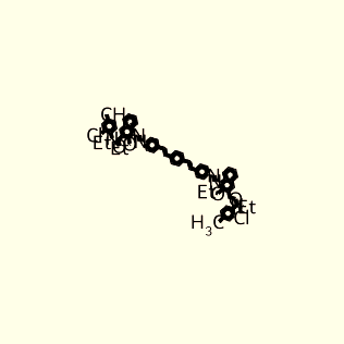 CCOc1c(CON(CC)c2ccc(C)cc2Cl)cc2ccccc2c1N=Nc1ccc(C=Cc2ccc(C=Cc3ccc(N=Nc4c(OCC)c(C(=O)N(CC)c5ccc(C)cc5Cl)cc5ccccc45)cc3)cc2)cc1